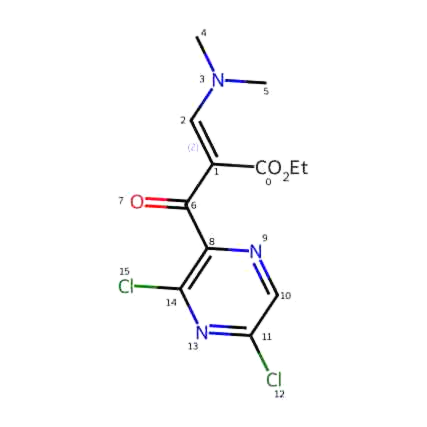 CCOC(=O)/C(=C\N(C)C)C(=O)c1ncc(Cl)nc1Cl